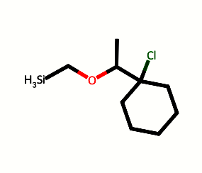 CC(OC[SiH3])C1(Cl)CCCCC1